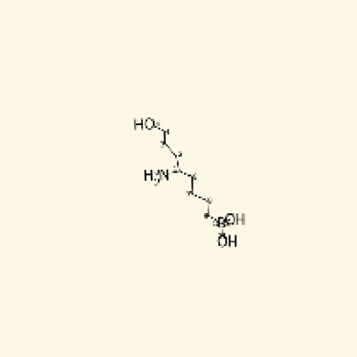 NC(CCCO)CCCCB(O)O